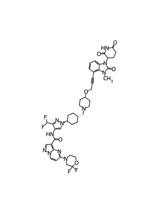 Cn1c(=O)n(C2CCC(=O)NC2=O)c2cccc(C#CCOC3CCN(C[C@H]4CC[C@H](n5cc(NC(=O)c6cnn7ccc(N8CCOC(F)(F)C8)nc67)c(C(F)F)n5)CC4)CC3)c21